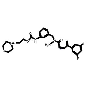 C=C(/C=C\C(=O)N(N)Cc1cccc(NC(=O)OCCCN2CCOCC2)c1)c1cc(F)cc(F)c1